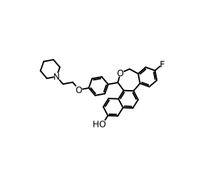 Oc1ccc2c3c(ccc2c1)-c1ccc(F)cc1COC3c1ccc(OCCN2CCCCC2)cc1